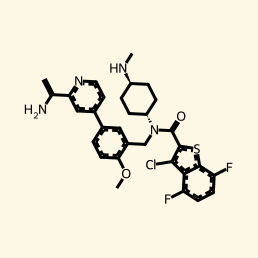 C=C(N)c1cc(-c2ccc(OC)c(CN(C(=O)c3sc4c(F)ccc(F)c4c3Cl)[C@H]3CC[C@H](NC)CC3)c2)ccn1